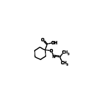 CC(C)=NOC1(C(=O)O)CCCCC1